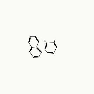 CCOC(=O)c1ccccc1C(=O)O.c1ccc2ccccc2c1